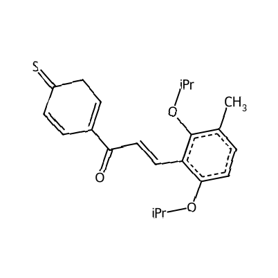 Cc1ccc(OC(C)C)c(C=CC(=O)C2=CCC(=S)C=C2)c1OC(C)C